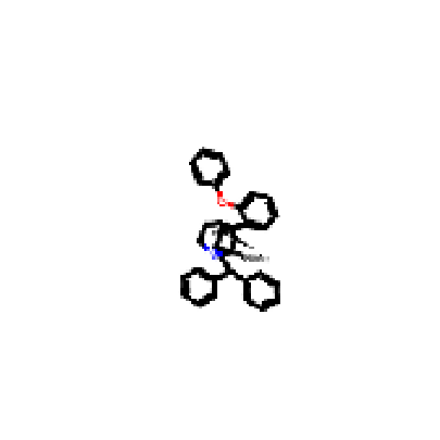 CNC1(C(c2ccccc2)c2ccccc2)[C@@H](c2ccccc2Oc2ccccc2)C2CCN1CC2